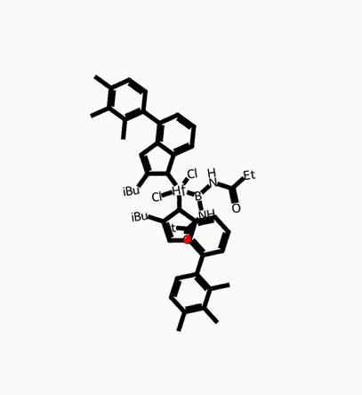 CCC(=O)N[B](NC(=O)CC)[Hf]([Cl])([Cl])([CH]1C(C(C)CC)=Cc2c(-c3ccc(C)c(C)c3C)cccc21)[CH]1C(C(C)CC)=Cc2c(-c3ccc(C)c(C)c3C)cccc21